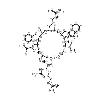 CC(=O)N[C@@H](CCCNC(=N)N)C(=O)N[C@H]1CCSSC[C@@H](C(N)=O)NC(=O)[C@H](Cc2c[nH]c3ccccc23)NC(=O)[C@H](CCCNC(=N)N)NC(=O)[C@@H](Cc2ccccc2)NC(=O)[C@@H](CCC(N)=O)NC1=O